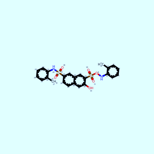 Cc1ccccc1NOS(=O)(=O)c1cc2cc(S(=O)(=O)Nc3ccccc3C)ccc2cc1O